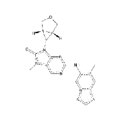 Cc1cc2ncnn2cc1Nc1ncc2c(n1)n([C@@H]1[C@@H]3COC[C@@H]31)c(=O)n2C